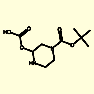 CC(C)(C)OC(=O)N1CCNC(OC(=O)O)C1